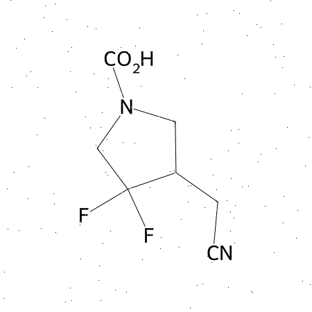 N#CCC1CN(C(=O)O)CC1(F)F